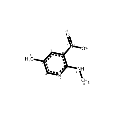 CNc1ncc(C)cc1[N+](=O)[O-]